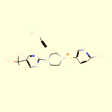 CC#C[C@@H]1CN(S(=O)(=O)c2ccc(N)nc2)CCN1c1ncc(C(C)(C)O)cn1